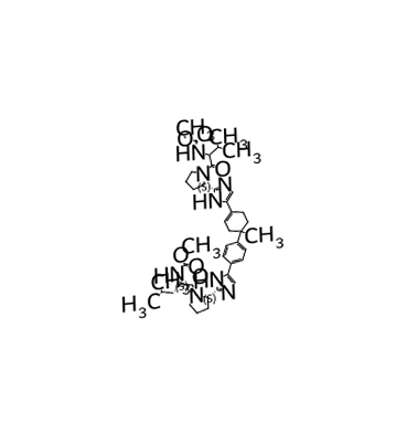 COC(=O)NC(C(=O)N1CCC[C@H]1c1ncc(C2=CCC(C)(c3ccc(-c4cnc([C@@H]5CCCN5C(=O)[C@H](CC(C)C)NC(=O)OC)[nH]4)cc3)CC2)[nH]1)C(C)C